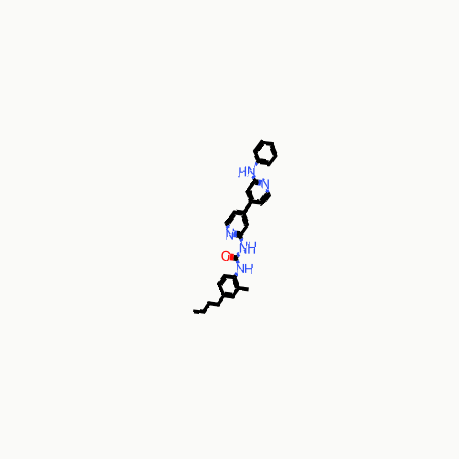 CCCCc1ccc(NC(=O)Nc2cc(-c3ccnc(Nc4ccccc4)c3)ccn2)c(C)c1